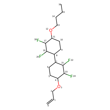 C=CCOC1CCC(C2CCC(OCCCC)C(F)C2F)C(F)C1F